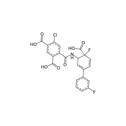 O=C(O)c1cc(C(=O)O)c(C(=O)NC2C=C(c3cccc(F)c3)C=CC2(F)C(=O)O)cc1Cl